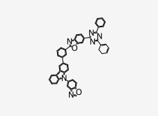 C1=CCCC(c2nc(-c3ccccc3)nc(-c3ccc4nc(-c5cccc(-c6ccc7c(c6)c6ccccc6n7-c6ccc7ocnc7c6)c5)oc4c3)n2)=C1